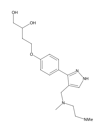 CNCCN(C)Cc1c[nH]nc1-c1ccc(OCCC(O)CO)cc1